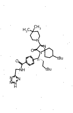 CC(C)(C)CC[C@H](c1ccc(C(=O)NCc2nn[nH]n2)cc1)N1C(=O)C(N2CCC(C)(C)CC2)=NC12CCC(C(C)(C)C)CC2